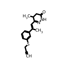 C#CCSc1cccc(C(C)=CC2=NNC(=O)CC2C)c1